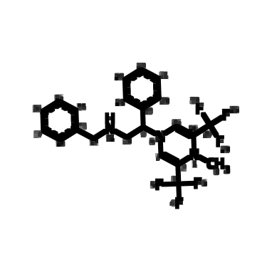 CN1C(C(F)(F)F)=CN(C(CNCc2ccccc2)c2ccccc2)C=C1C(F)(F)F